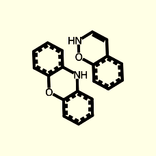 C1=Cc2ccccc2ON1.c1ccc2c(c1)Nc1ccccc1O2